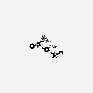 CCOP(=O)(CCc1cn(-c2ccccc2)nc1OCc1ccc(OCc2nc(-c3ccco3)oc2C)c(OC)c1)OCC